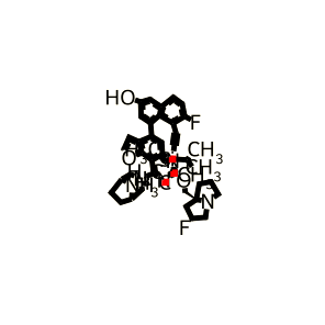 CC(C)[Si](C#Cc1c(F)ccc2cc(O)cc(-c3cc4nc(OC[C@@]56CCCN5C[C@H](F)C6)nc(N5CC6CCC(C5)N6)c4c4occc34)c12)(C(C)C)C(C)C